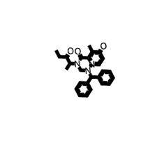 CCC(=O)C(C)N1CN(C(c2ccccc2)c2ccccc2)n2ccc(=O)c(C)c2C1=O